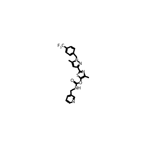 Cc1nc(-c2cc(C)n(Cc3ccc(C(F)(F)F)cc3)n2)sc1OC(=O)NCc1cccnc1